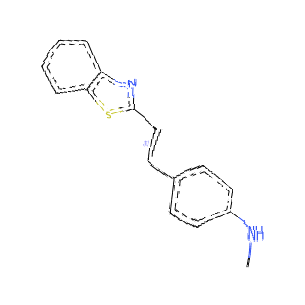 CNc1ccc(/C=C/c2nc3ccccc3s2)cc1